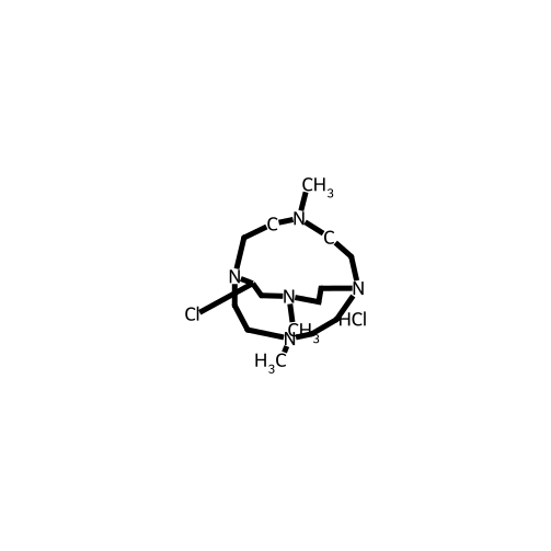 CN1CCN2CCN(C)CCN(CC1)C(Cl)CN(C)CC2.Cl